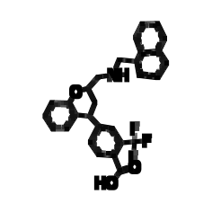 O=C(O)c1ccc(C2CC(CNCc3cccc4ccccc34)Oc3ccccc32)cc1C(F)(F)F